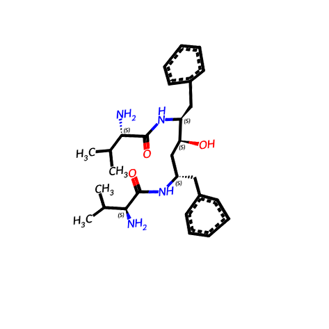 CC(C)[C@H](N)C(=O)N[C@@H](Cc1ccccc1)C[C@H](O)[C@H](Cc1ccccc1)NC(=O)[C@@H](N)C(C)C